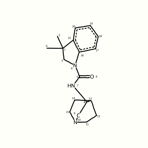 CC1(C)CN(C(=O)NC2CN3CCC2CC3)c2ccccc21